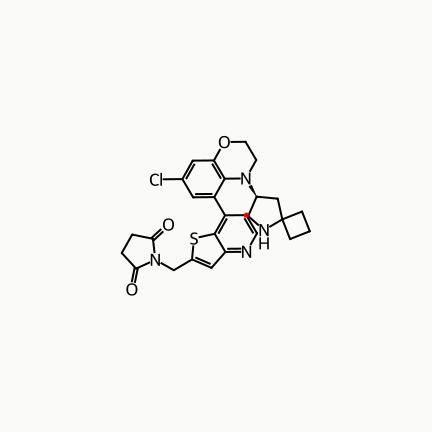 O=C1CCC(=O)N1Cc1cc2nccc(-c3cc(Cl)cc4c3N([C@@H]3CNC5(CCC5)C3)CCO4)c2s1